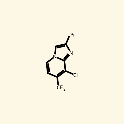 CC(C)c1cn2ccc(C(F)(F)F)c(Cl)c2n1